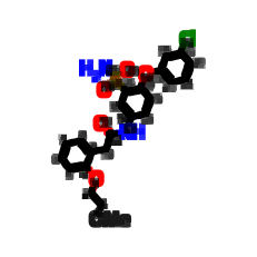 COCCOc1ccccc1CC(=O)Nc1ccc(Oc2cccc(Cl)c2)c(S(N)(=O)=O)c1